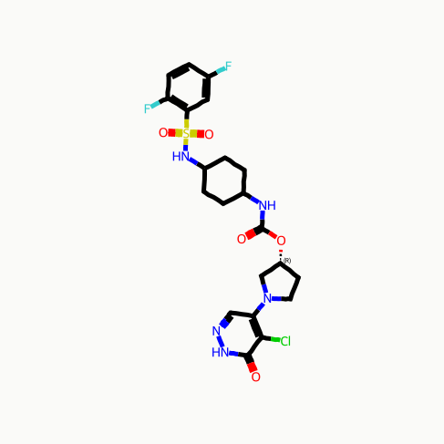 O=C(NC1CCC(NS(=O)(=O)c2cc(F)ccc2F)CC1)O[C@@H]1CCN(c2cn[nH]c(=O)c2Cl)C1